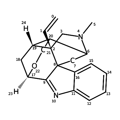 C=C[C@@]12CN(C)C3CC14C(=Nc1ccccc14)[C@H]1C[C@@H]2C3CO1